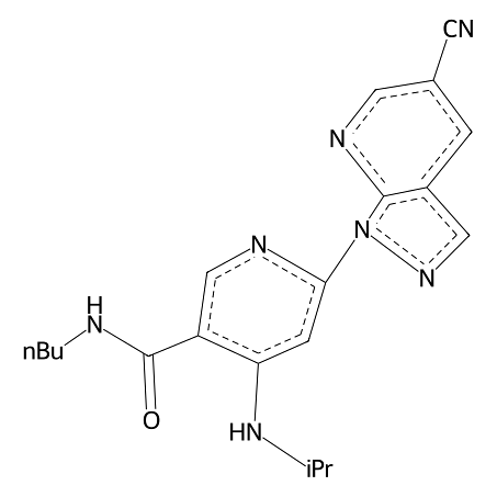 CCCCNC(=O)c1cnc(-n2ncc3cc(C#N)cnc32)cc1NC(C)C